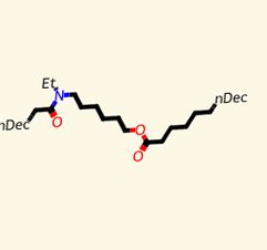 CCCCCCCCCCCCCCCC(=O)OCCCCCCN(CC)C(=O)CCCCCCCCCCC